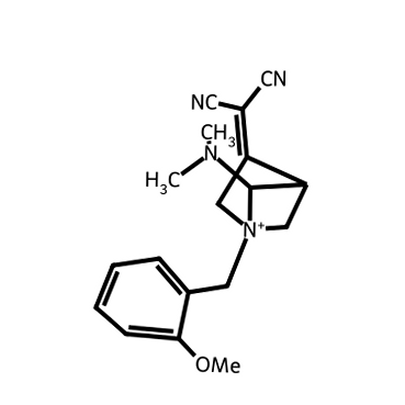 COc1ccccc1C[N+]12CC(=C(C#N)C#N)C(C1)C2N(C)C